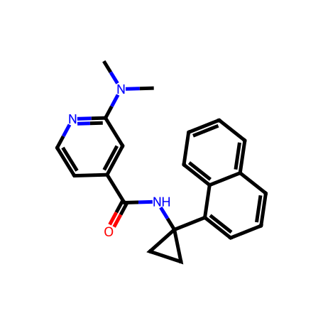 CN(C)c1cc(C(=O)NC2(c3cccc4ccccc34)CC2)ccn1